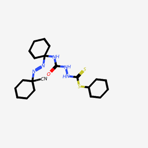 N#CC1(N=NC2(NC(=O)NNC(=S)SC3CCCCC3)CCCCC2)CCCCC1